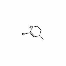 CN1C=C(Br)NCC1